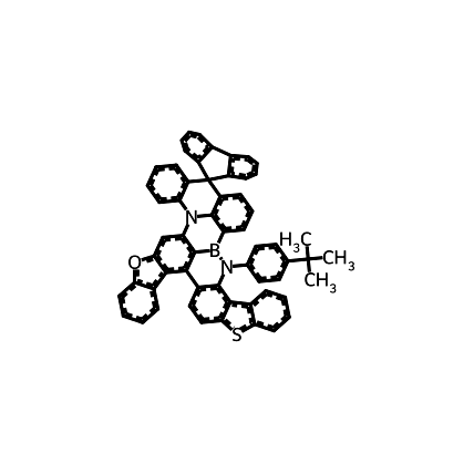 CC(C)(C)c1ccc(N2B3c4cccc5c4N(c4ccccc4C54c5ccccc5-c5ccccc54)c4cc5oc6ccccc6c5c(c43)-c3ccc4sc5ccccc5c4c32)cc1